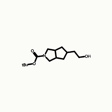 CC(C)(C)OC(=O)N1CC2CC(CCO)CC2C1